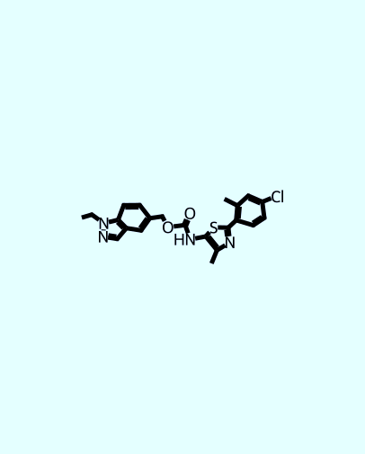 CCn1ncc2cc(COC(=O)Nc3sc(-c4ccc(Cl)cc4C)nc3C)ccc21